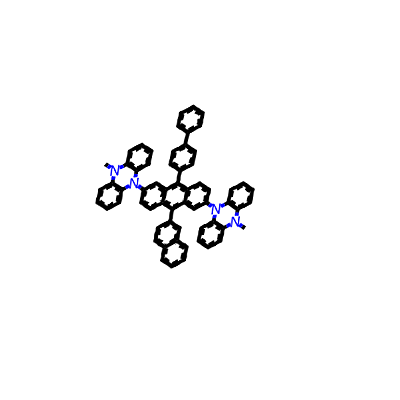 CN1c2ccccc2N(c2ccc3c(-c4ccc5ccccc5c4)c4cc(N5c6ccccc6N(C)c6ccccc65)ccc4c(-c4ccc(-c5ccccc5)cc4)c3c2)c2ccccc21